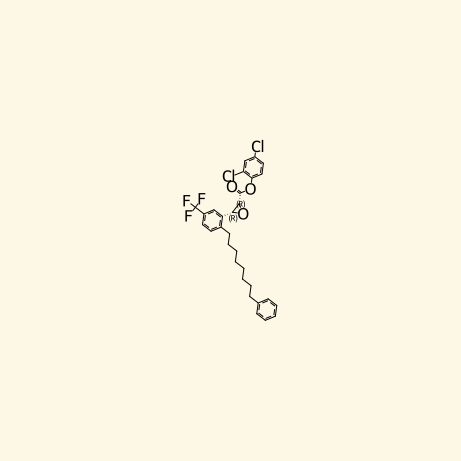 O=C(Oc1ccc(Cl)cc1Cl)[C@@H]1O[C@@H]1c1cc(C(F)(F)F)ccc1CCCCCCCCc1ccccc1